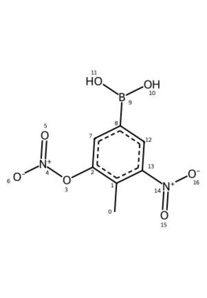 Cc1c(O[N+](=O)[O-])cc(B(O)O)cc1[N+](=O)[O-]